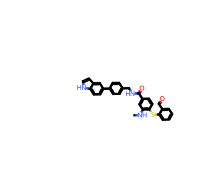 CNc1cc(C(=O)NCc2ccc(-c3ccc4[nH]ccc4c3)cc2)ccc1Sc1ccccc1C=O